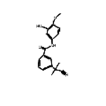 COc1ccc(NC(=O)c2cccc(C(C)(C)C#N)c2)cc1O